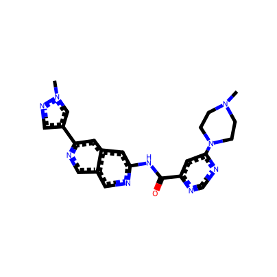 CN1CCN(c2cc(C(=O)Nc3cc4cc(-c5cnn(C)c5)ncc4cn3)ncn2)CC1